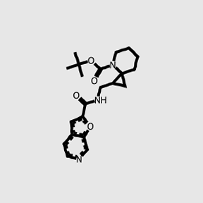 CC(C)(C)OC(=O)N1CCCCC12CC2CNC(=O)c1cc2ccncc2o1